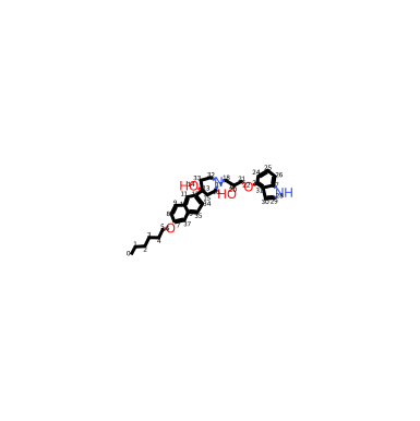 CCCCCCOc1ccc2cc(C3(O)CCN(C[C@H](O)COc4cccc5[nH]ccc45)CC3)ccc2c1